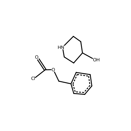 O=C(Cl)OCc1ccccc1.OC1CCNCC1